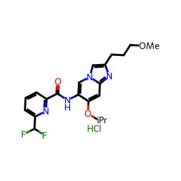 COCCCc1cn2cc(NC(=O)c3cccc(C(F)F)n3)c(OC(C)C)cc2n1.Cl